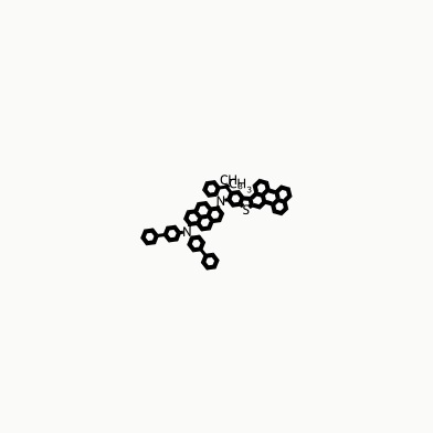 CC1(C)c2ccccc2N(c2ccc3ccc4c(N(c5ccc(-c6ccccc6)cc5)c5ccc(-c6ccccc6)cc5)ccc5ccc2c3c54)c2cc3sc4cc5c6cccc7cccc(c8cccc(c4c3cc21)c85)c76